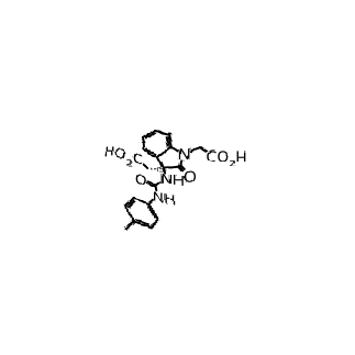 Cc1ccc(NC(=O)N[C@]2(CC(=O)O)C(=O)N(CC(=O)O)c3ccccc32)cc1